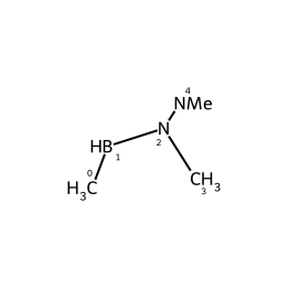 CBN(C)NC